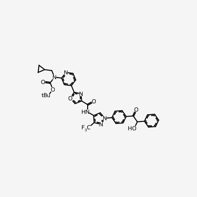 CC(C)(C)OC(=O)N(CC1CC1)c1cc(-c2nc(C(=O)Nc3cn(-c4ccc(C(=O)C(O)c5ccccc5)cc4)nc3C(F)(F)F)co2)ccn1